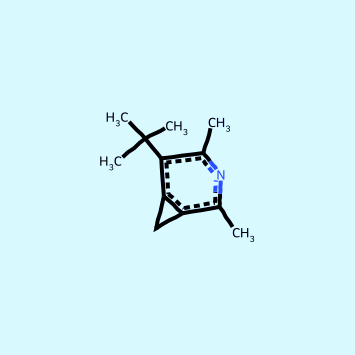 Cc1nc(C)c(C(C)(C)C)c2c1C2